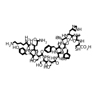 CC[C@H](C)[C@H](NC(=O)[C@H](Cc1ccccc1)NC(=O)[C@H](Cc1ccccc1)NC(=O)[C@@H](NC(=O)[C@H](CO)NC(=O)[C@H](CO)NC(=O)[C@H](CO)NC(=O)[C@H](Cc1ccc(O)cc1)NC(=O)[C@H](CC(N)=O)NC(=O)[C@@H](N)CCCCN)[C@@H](C)CC)C(=O)N[C@@H](Cc1c[nH]cn1)C(=O)N[C@@H](C)C(=O)N[C@@H](CS)C(=O)O